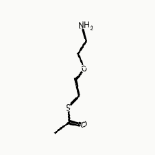 CC(=O)SCCOCCN